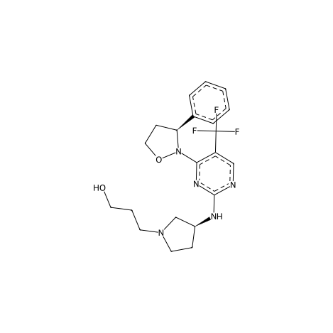 OCCCN1CC[C@H](Nc2ncc(C(F)(F)F)c(N3OCC[C@H]3c3ccccc3)n2)C1